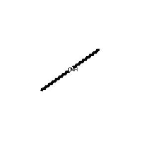 CCCCCCCCCCCCCCCCCONCCCCCCCCCCCCCCCC